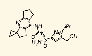 CC(C)n1nc([S@@](N)(=O)=NC(=O)Nc2c3c(nc4c2CCC42CC2)CCC3)cc1CO